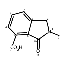 CN1Cc2cccc(C(=O)O)c2C1=O